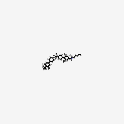 CCCCC/C(F)=C(\F)c1cc(F)c(C2CCC(C(F)(F)OC3CCC(c4cc(F)c(C(F)(F)F)c(F)c4)CC3)CC2)c(F)c1